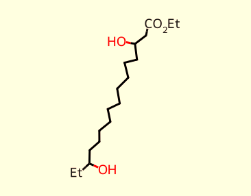 CCOC(=O)CC(O)CCCCCCCCCCC(O)CC